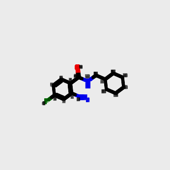 Nc1cc(F)ccc1C(=O)N[CH]C1CCCCC1